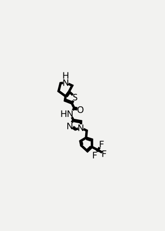 O=C(Nc1cn(Cc2cccc(C(F)(F)F)c2)cn1)c1cc2c(s1)CNCC2